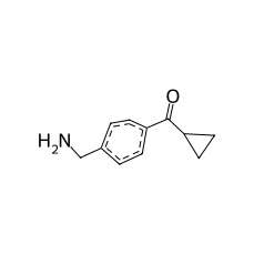 NCc1ccc(C(=O)C2CC2)cc1